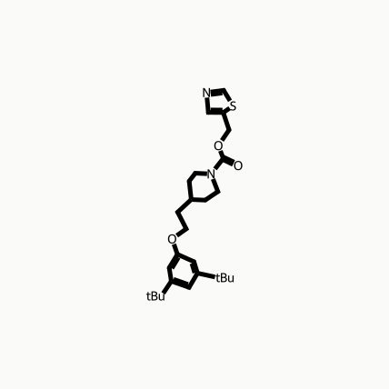 CC(C)(C)c1cc(OCCC2CCN(C(=O)OCc3cncs3)CC2)cc(C(C)(C)C)c1